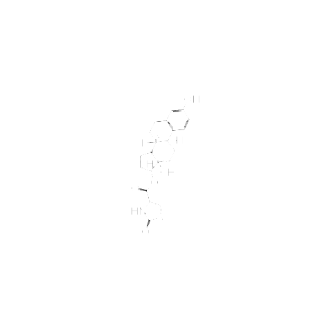 C[C@]12CC[C@@H]3c4ccc(O)cc4CC[C@H]3[C@@H]1CC[C@@H]2OC(=O)C1CSC(=O)N1